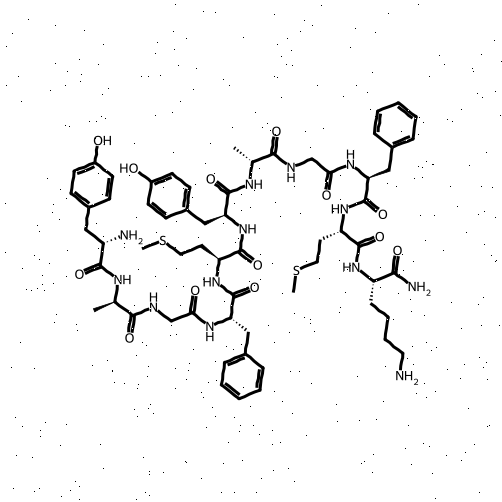 CSCC[C@H](NC(=O)[C@H](Cc1ccccc1)NC(=O)CNC(=O)[C@@H](C)NC(=O)[C@H](Cc1ccc(O)cc1)NC(=O)[C@H](CCSC)NC(=O)[C@H](Cc1ccccc1)NC(=O)CNC(=O)[C@@H](C)NC(=O)[C@@H](N)Cc1ccc(O)cc1)C(=O)N[C@@H](CCCCN)C(N)=O